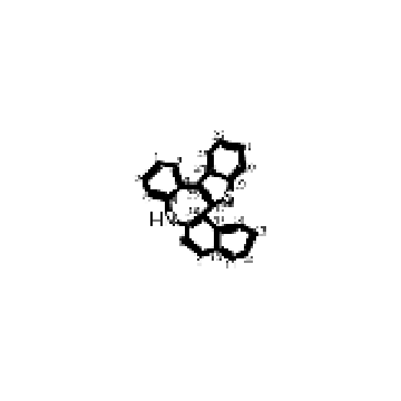 c1ccc2c(c1)Nc1ccc3ccccc3c1-c1sc3ccccc3c1-2